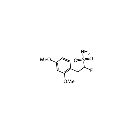 COc1ccc(CC(F)S(N)(=O)=O)c(OC)c1